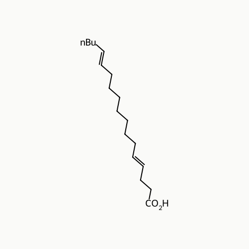 CCCC/C=C/CCCCCCC/C=C/CCC(=O)O